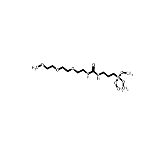 COCCOCCOCCNC(=O)NCCC[Si](OC)(OC)OC